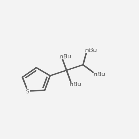 CCCCC(CCCC)C(CCCC)(CCCC)c1ccsc1